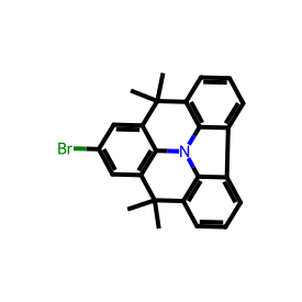 CC1(C)c2cc(Br)cc3c2-n2c4c1cccc4c1cccc(c12)C3(C)C